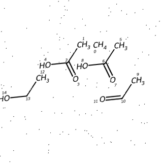 C.CC(=O)O.CC(=O)O.CC=O.CCO